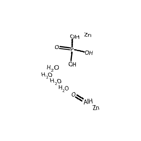 O.O.O.O.O=P(O)(O)O.[O]=[AlH].[Zn].[Zn]